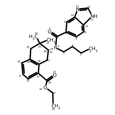 CCCCN(C(=O)c1ccc2[nH]cnc2c1)[C@@H]1Cc2c(cccc2C(=O)OCC)CC1(C)C